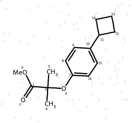 COC(=O)C(C)(C)Oc1ccc(C2CCC2)cc1